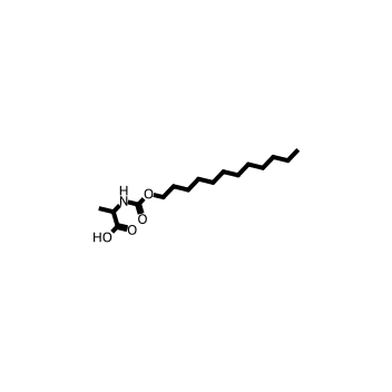 CCCCCCCCCCCCOC(=O)NC(C)C(=O)O